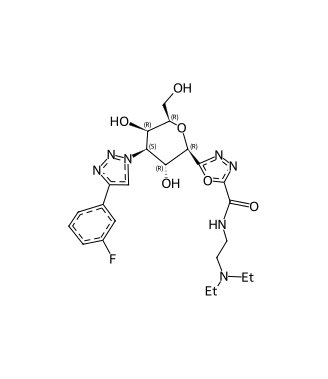 CCN(CC)CCNC(=O)c1nnc([C@@H]2O[C@H](CO)[C@H](O)[C@H](n3cc(-c4cccc(F)c4)nn3)[C@H]2O)o1